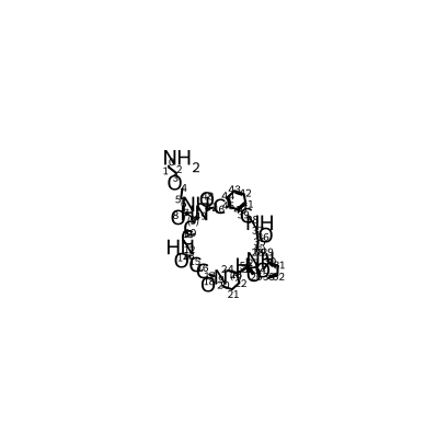 NCCOCCNC(=O)[C@@H]1CCNC(=O)CCC(=O)N2CCC[C@H](C2)C(=O)N[C@@H](Cc2ccco2)C2OC2NCc2ccccc2CC(=O)N1